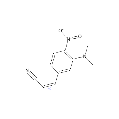 CN(C)c1cc(/C=C\C#N)ccc1[N+](=O)[O-]